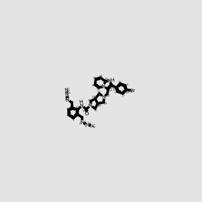 [N-]=[N+]=NCc1cccc(CN=[N+]=[N-])c1NC(=O)N1CC2CN(CC3=C(c4ccc(Br)cc4)NC4C=CC=CN34)CC2C1